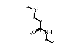 C[CH]NC(=O)CCOC